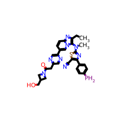 CCc1nc2ccc(-c3cnc(CC(=O)N4CC(CO)C4)cn3)cn2c1N(C)c1nc(-c2ccc(P)cc2)c(C#N)s1